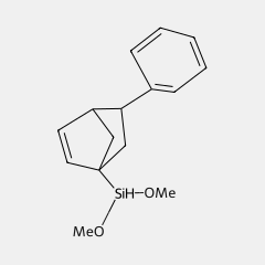 CO[SiH](OC)C12C=CC(C1)C(c1ccccc1)C2